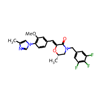 COc1cc(C=C2O[C@@H](C)CN(Cc3cc(F)c(F)c(F)c3)C2=O)ccc1-n1cnc(C)c1